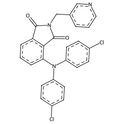 O=C1c2cccc(N(c3ccc(Cl)cc3)c3ccc(Cl)cc3)c2C(=O)N1Cc1cccnc1